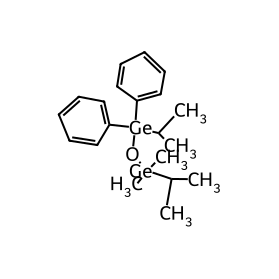 C[CH](C)[Ge]([CH3])([CH3])[O][Ge]([c]1ccccc1)([c]1ccccc1)[CH](C)C